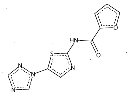 O=C(Nc1ncc(-n2cncn2)s1)c1ccco1